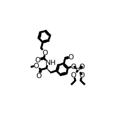 CCOP(=O)(OCC)Oc1ccc(C[C@H](NC(=O)OCc2ccccc2)C(=O)OC)cc1C=O